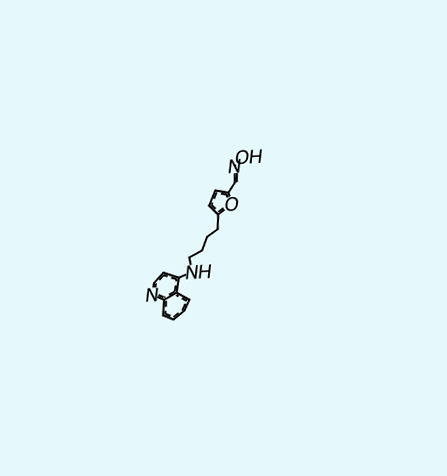 O/N=C/c1ccc(CCCCNc2ccnc3ccccc23)o1